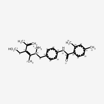 C=C(C)/C(CC(=O)O)=C(/C)N(N)Cc1ccc(NC(=O)c2ccc(C)cc2C)cc1